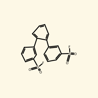 O=S(=O)(F)c1cccc(-c2ccccc2-c2cccc(S(=O)(=O)F)c2)c1